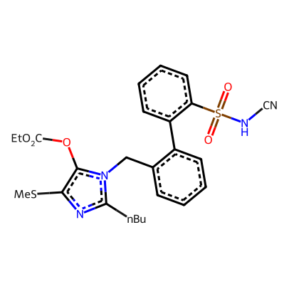 CCCCc1nc(SC)c(OC(=O)OCC)n1Cc1ccccc1-c1ccccc1S(=O)(=O)NC#N